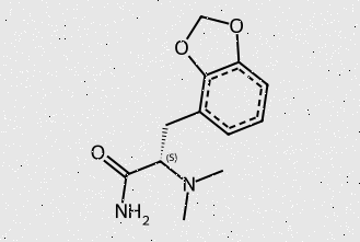 CN(C)[C@@H](Cc1cccc2c1OCO2)C(N)=O